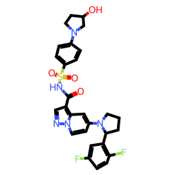 O=C(NS(=O)(=O)c1ccc(N2CCC(O)C2)cc1)c1cnn2ccc(N3CCCC3c3cc(F)ccc3F)cc12